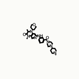 CC1C(=O)N(C)c2cnc(Nc3cccc(C(=O)N4CCN(C5CCN(C)CC5)CC4)c3)cc2N1C1CCOCC1